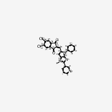 Cn1c(-c2cccnc2)nc2c1cc(C=C1C(=O)c3cc(Cl)c(Cl)cc3C1=O)n2-c1ccccc1